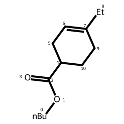 CCCCOC(=O)C1CC=C(CC)CC1